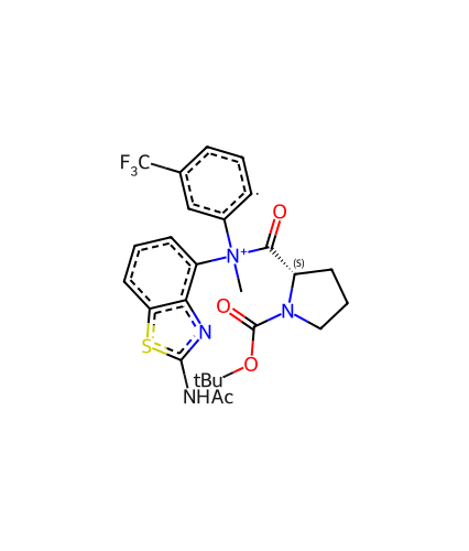 CC(=O)Nc1nc2c([N+](C)(C(=O)[C@@H]3CCCN3C(=O)OC(C)(C)C)c3[c]ccc(C(F)(F)F)c3)cccc2s1